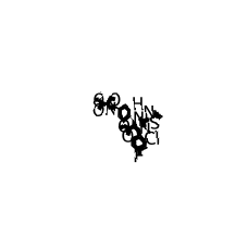 COC(=O)C1=C([C@H]2CC[C@H](c3nc(C(=O)OC)co3)CC2)NC(c2nccs2)=NC1c1ccc(F)cc1Cl